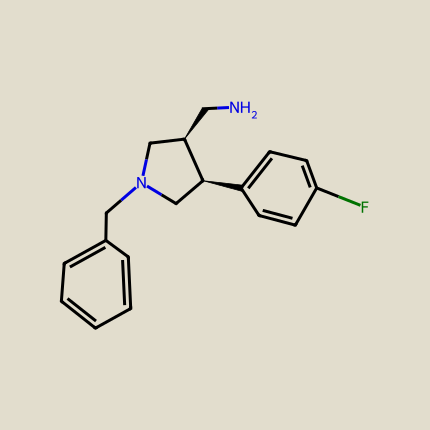 NC[C@@H]1CN(Cc2ccccc2)C[C@@H]1c1ccc(F)cc1